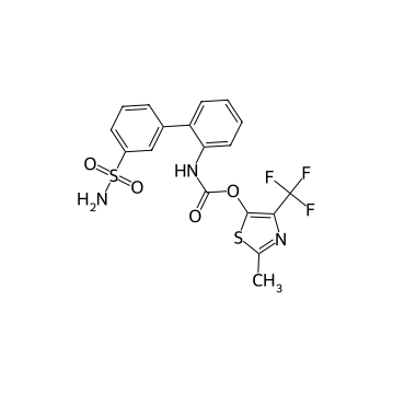 Cc1nc(C(F)(F)F)c(OC(=O)Nc2ccccc2-c2cccc(S(N)(=O)=O)c2)s1